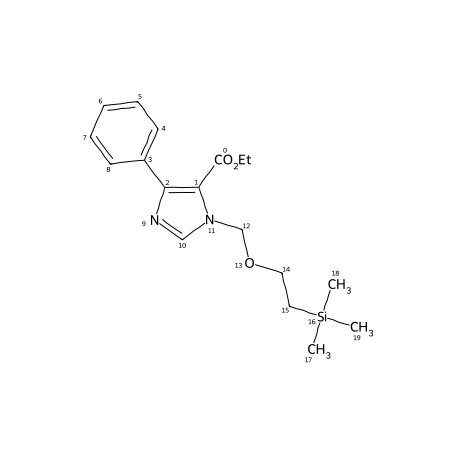 CCOC(=O)c1c(-c2ccccc2)ncn1COCC[Si](C)(C)C